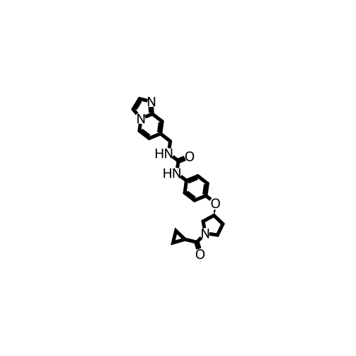 O=C(NCc1ccn2ccnc2c1)Nc1ccc(O[C@@H]2CCN(C(=O)C3CC3)C2)cc1